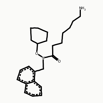 NCCCCCCC(=O)N(Cc1cccc2ccccc12)OC1CCCCC1